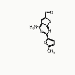 Cc1ccc(-c2nc(N)c3cc(C=O)sc3n2)o1